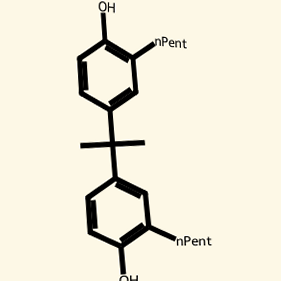 CCCCCc1cc(C(C)(C)c2ccc(O)c(CCCCC)c2)ccc1O